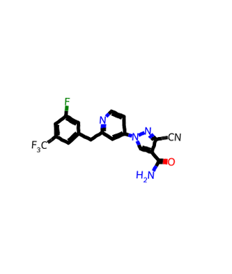 N#Cc1nn(-c2ccnc(Cc3cc(F)cc(C(F)(F)F)c3)c2)cc1C(N)=O